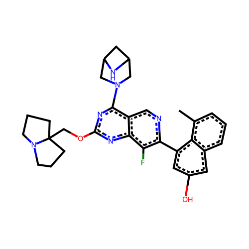 Cc1cccc2cc(O)cc(-c3ncc4c(N5CC6CC(C5)N6)nc(OCC56CCCN5CCC6)nc4c3F)c12